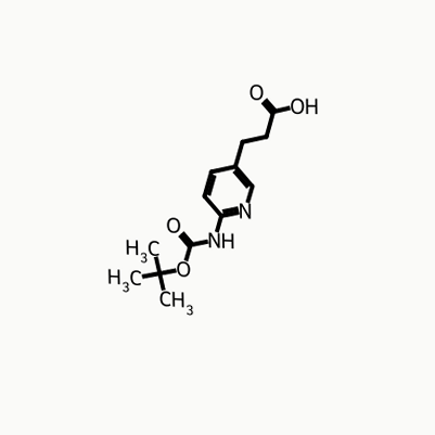 CC(C)(C)OC(=O)Nc1ccc(CCC(=O)O)cn1